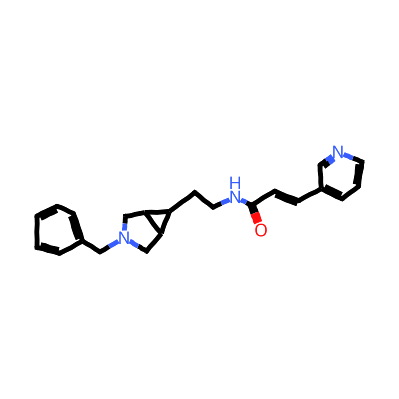 O=C(/C=C/c1cccnc1)NCCC1C2CN(Cc3ccccc3)CC12